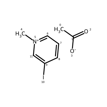 CC(=O)[O-].C[n+]1cccc(I)c1